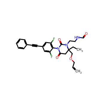 C=CCOCC1(CC)CC(=O)N(c2c(F)cc(C#Cc3ccccc3)cc2F)C(=O)N1CCNC=O